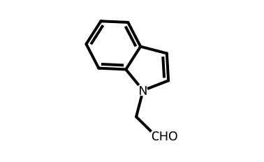 O=CCn1ccc2ccccc21